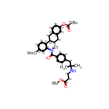 CCN(C(=O)c1ccc(CC(C)(C)NCCC(=O)OC(C)(C)C)cc1)c1cc(OC)ccc1C1CCc2cc(OC(=O)C(C)(C)C)ccc2C1